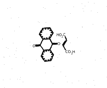 O=C(O)/C=C/C(=O)O.O=C1c2ccccc2C(=O)c2ccccc21